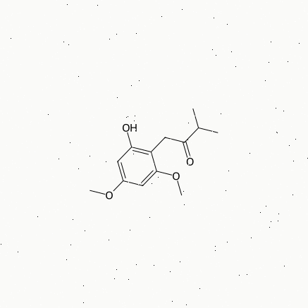 COc1cc(O)c(CC(=O)C(C)C)c(OC)c1